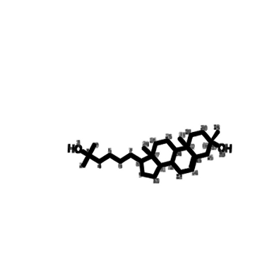 CC(C)(O)CCCCC1CCC2C3CC=C4C[C@@](C)(O)CCC4(C)C3CCC12C